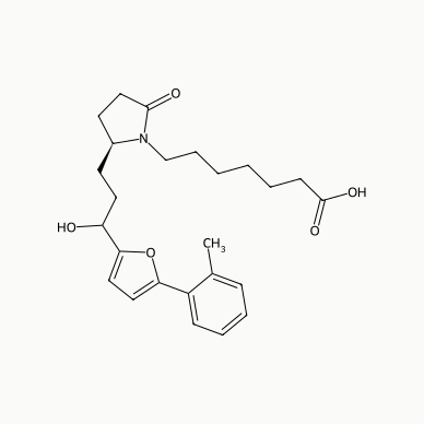 Cc1ccccc1-c1ccc(C(O)CC[C@H]2CCC(=O)N2CCCCCCC(=O)O)o1